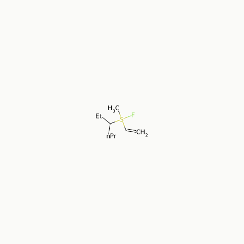 C=CS(C)(F)C(CC)CCC